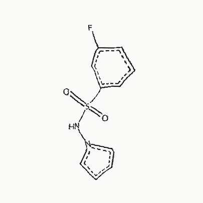 O=S(=O)(Nn1cccc1)c1cccc(F)c1